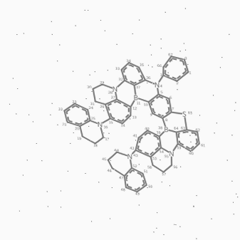 c1ccc(N2c3cc4c(cc3B3c5ccc(N6CCCc7ccccc76)c6c5N(CCC6)c5cccc2c53)B2c3ccc(N5CCCc6ccccc65)c5c3N(CCC5)c3cccc(c32)S4)cc1